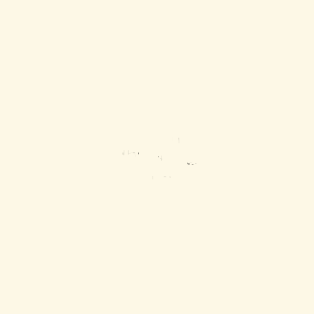 CCCCCCC[N+](CCCCCC)(CCCCCCC)CCCCCCC.[Cl-]